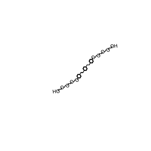 OCCOCCOCCOCCOc1ccc(/C=C/c2ccc(CCc3ccc(OCCOCCOCCOCCO)cc3)cc2)cc1